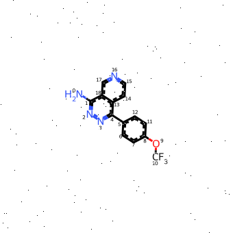 Nc1nnc(-c2ccc(OC(F)(F)F)cc2)c2ccncc12